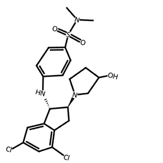 CN(C)S(=O)(=O)c1ccc(N[C@H]2c3cc(Cl)cc(Cl)c3C[C@@H]2N2CCC(O)C2)cc1